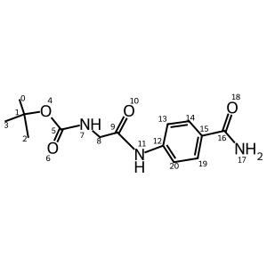 CC(C)(C)OC(=O)NCC(=O)Nc1ccc(C(N)=O)cc1